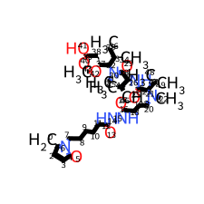 C=C1C=CC(=O)N1CCCCCC(=O)NNC(=O)CCCN(C)C(C(=O)N[C@H](C(=O)N(C)[C@@H]([C@@H](C)CC)[C@@H](CC(=O)O)OC)C(C)C)C(C)C